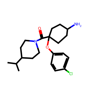 CC(C)C1CCN(C(=O)C2(Oc3ccc(Cl)cc3)CCC(N)CC2)CC1